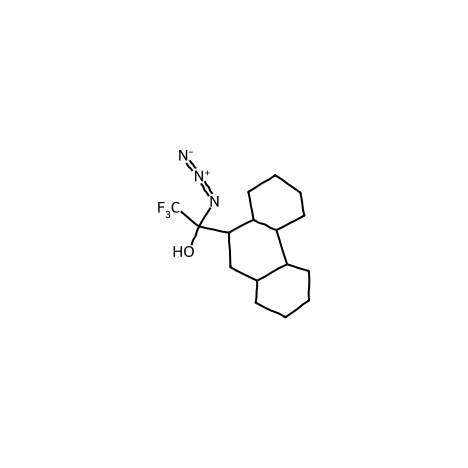 [N-]=[N+]=NC(O)(C1CC2CCCCC2C2CCCCC21)C(F)(F)F